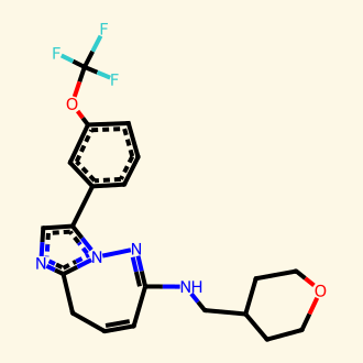 FC(F)(F)Oc1cccc(-c2cnc3n2N=C(NCC2CCOCC2)C=CC3)c1